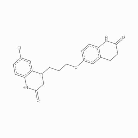 O=C1CCc2cc(OCCCN3CC(=O)Nc4ccc(Cl)cc43)ccc2N1